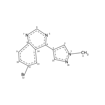 Cn1cc(-c2ncnc3ccc(Br)cc23)cn1